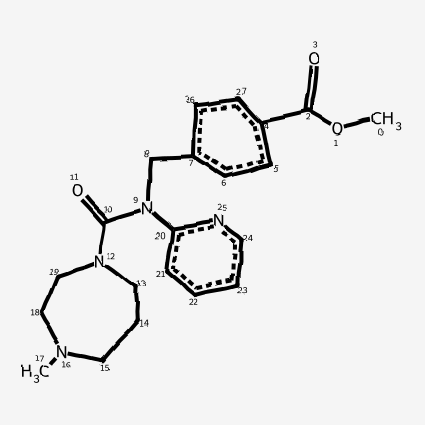 COC(=O)c1ccc(CN(C(=O)N2CCCN(C)CC2)c2ccccn2)cc1